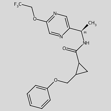 C[C@@H](NC(=O)C1CC1COc1ccccc1)c1cnc(OCC(F)(F)F)cn1